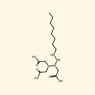 CCCCCCCCNNN(CC(=O)O)N(CC(=O)O)CC(=O)O